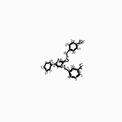 Fc1cccc(-n2cc(-c3ccccc3)nc2SCc2ccc(Br)cc2)c1